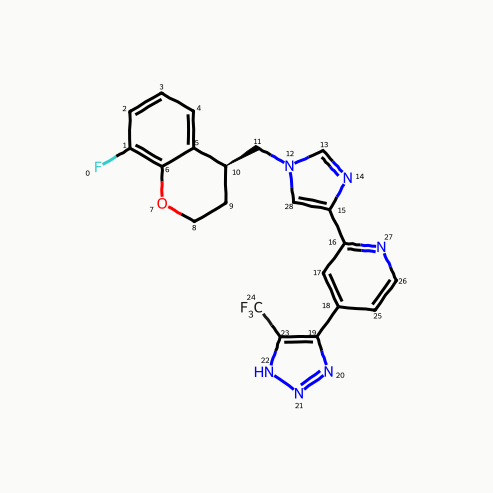 Fc1cccc2c1OCC[C@@H]2Cn1cnc(-c2cc(-c3nn[nH]c3C(F)(F)F)ccn2)c1